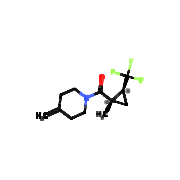 C=C1CCN(C(=O)[C@@]2(C)C[C@@H]2C(F)(F)F)CC1